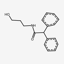 O=C(NCCCO)C(c1ccccc1)c1ccccc1